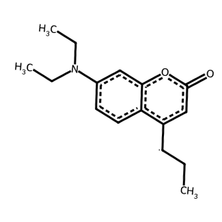 CC[CH]c1cc(=O)oc2cc(N(CC)CC)ccc12